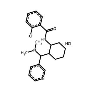 CN(C)C(c1cccnc1)C1CCCCC1NC(=O)c1ccccc1Cl.Cl